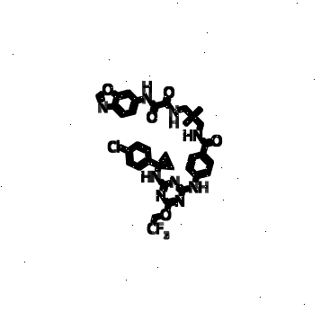 CC(C)(CNC(=O)C(=O)Nc1ccc2ncoc2c1)CNC(=O)c1ccc(Nc2nc(NC3(c4ccc(Cl)cc4)CC3)nc(OCC(F)(F)F)n2)cc1